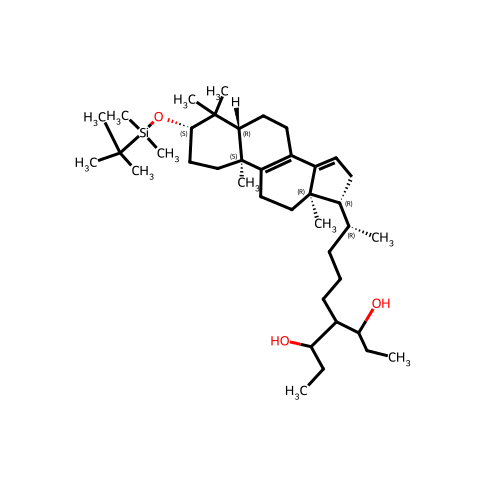 CCC(O)C(CCC[C@@H](C)[C@H]1CC=C2C3=C(CC[C@@]21C)[C@@]1(C)CC[C@H](O[Si](C)(C)C(C)(C)C)C(C)(C)[C@@H]1CC3)C(O)CC